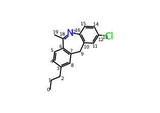 CCCc1ccc2c(c1)Cc1cc(Cl)ccc1N=C2C